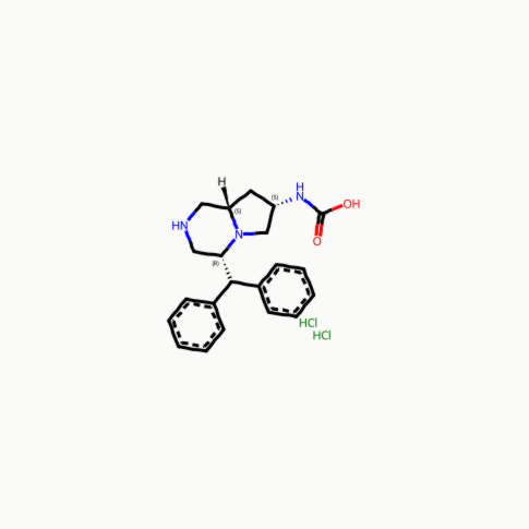 Cl.Cl.O=C(O)N[C@H]1C[C@H]2CNC[C@@H](C(c3ccccc3)c3ccccc3)N2C1